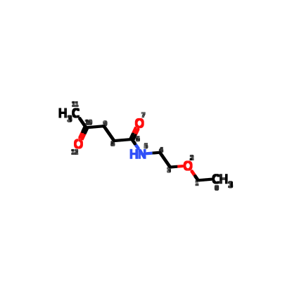 CCOCCNC(=O)CCC(C)=O